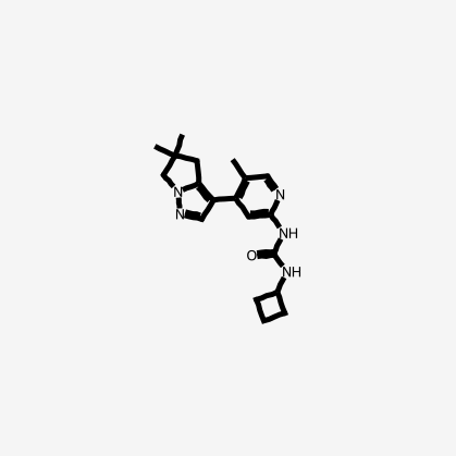 Cc1cnc(NC(=O)NC2CCC2)cc1-c1cnn2c1CC(C)(C)C2